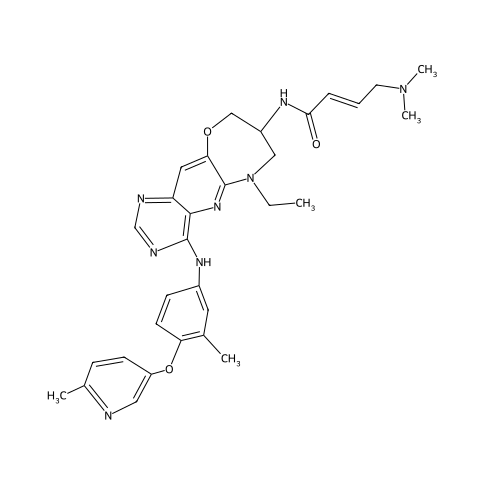 CCN1CC(NC(=O)/C=C/CN(C)C)COc2cc3ncnc(Nc4ccc(Oc5ccc(C)nc5)c(C)c4)c3nc21